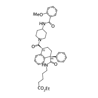 CCOC(=O)CCCCNC(=O)[C@@]1(c2ccccc2)CC[C@H](C(=O)N2CCC(NC(=O)c3ccccc3OC)CC2)c2ccccc21